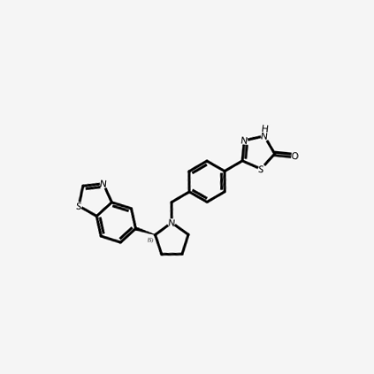 O=c1[nH]nc(-c2ccc(CN3CCC[C@H]3c3ccc4scnc4c3)cc2)s1